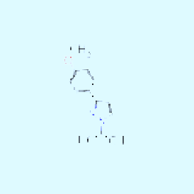 COc1ccc(-c2ccn(C(C)C)n2)cc1